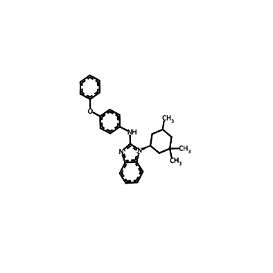 CC1C[C@H](n2c(Nc3ccc(Oc4ccccc4)cc3)nc3ccccc32)CC(C)(C)C1